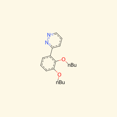 CCCCOc1cccc(-c2cccnn2)c1OCCCC